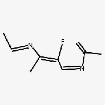 C=C(C)\N=C/C(F)=C(C)/N=C/C